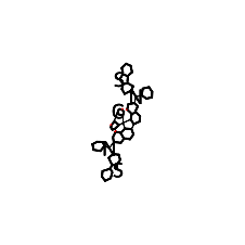 c1ccc(N(c2ccc3c4c(ccc3c2)-c2ccc3cc(N(c5ccccc5)c5ccc6sc7ccccc7c6c5)ccc3c2C42c3ccccc3-c3ccccc32)c2ccc3sc4ccccc4c3c2)cc1